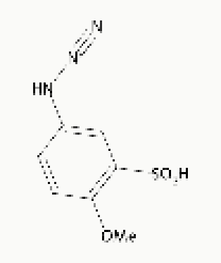 COc1ccc(N[N+]#N)cc1S(=O)(=O)O